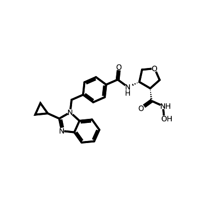 O=C(N[C@@H]1COC[C@@H]1C(=O)NO)c1ccc(Cn2c(C3CC3)nc3ccccc32)cc1